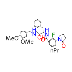 CCCc1cc(C(=O)N[C@@H](Cc2ccccc2)[C@@H](O)CNCc2ccc(OC)c(OC)c2)c(F)c(N2CCCC2=O)c1